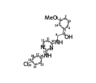 COc1cccc(C(O)CNc2ccnc(Nc3ccc(Cl)cc3)n2)c1